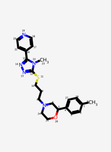 Cc1ccc(C2CN(CCCSc3nnc(-c4ccncc4)n3C)CCO2)cc1